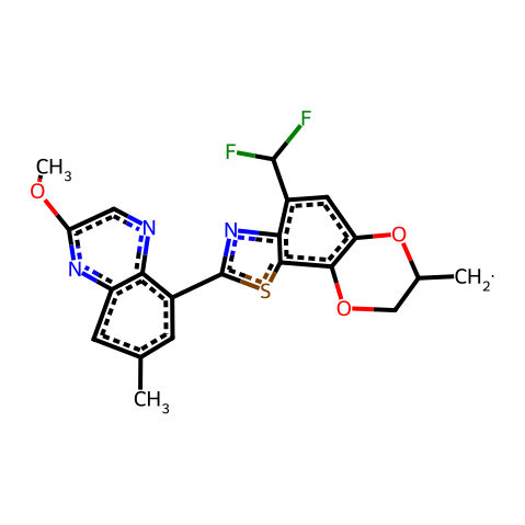 [CH2]C1COc2c(cc(C(F)F)c3nc(-c4cc(C)cc5nc(OC)cnc45)sc23)O1